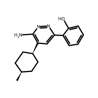 C[C@H]1CC[C@@H](c2cc(-c3ccccc3O)nnc2N)CC1